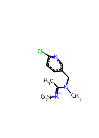 C/C(=N\[N+](=O)[O-])N(C)Cc1ccc(Cl)nc1